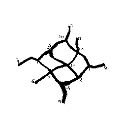 CC1C2C(C)C3(C)C(C)C4C(C)C1(C)C243